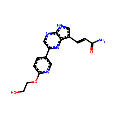 NC(=O)C=Cc1c[nH]c2ncc(-c3ccc(OCCO)nc3)nc12